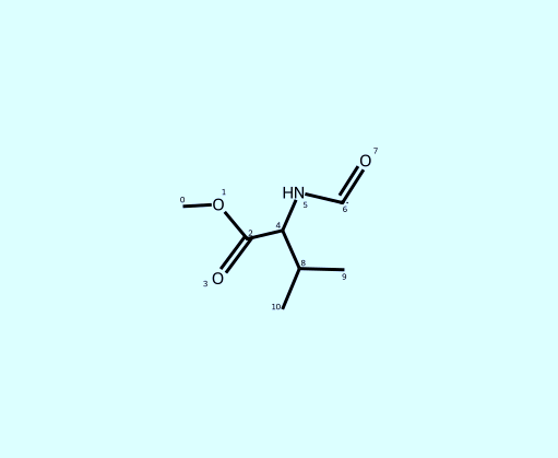 COC(=O)C(N[C]=O)C(C)C